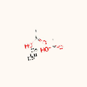 CC(=O)O.CC(=O)O.[Co].[Co].[Co]